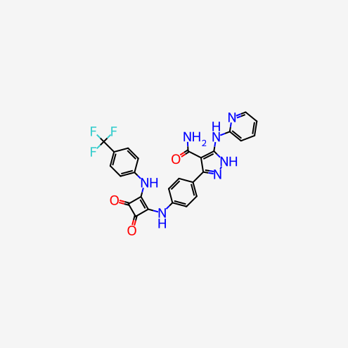 NC(=O)c1c(-c2ccc(Nc3c(Nc4ccc(C(F)(F)F)cc4)c(=O)c3=O)cc2)n[nH]c1Nc1ccccn1